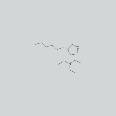 C1CCOC1.CCCCCC.CCN(CC)CC